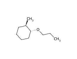 CCCO[C@@H]1CCCC[C@H]1C